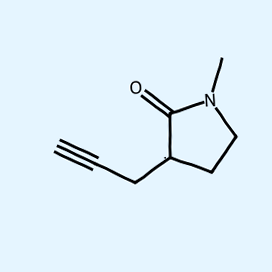 C#CC[C]1CCN(C)C1=O